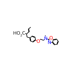 CC=CC(Cc1ccc(OCCN(C)c2nc3ccccc3o2)cc1)C(=O)O